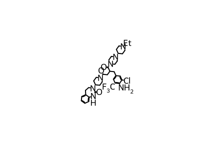 CCN1CCC(N2CCN(C(=O)C(CC(=O)N3CCC(N4CCc5ccccc5NC4=O)CC3)Cc3cc(Cl)c(N)c(C(F)(F)F)c3)CC2)CC1